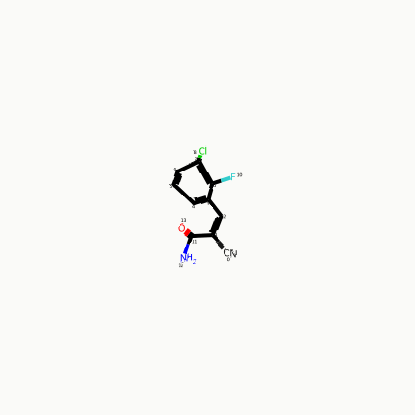 N#CC(=Cc1cccc(Cl)c1F)C(N)=O